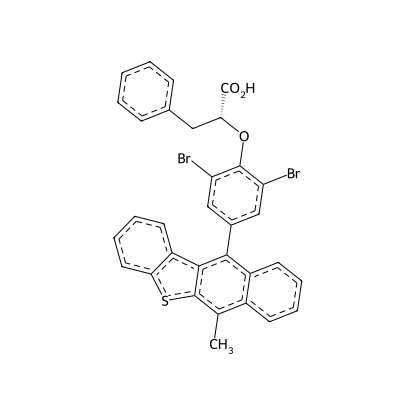 Cc1c2ccccc2c(-c2cc(Br)c(O[C@H](Cc3ccccc3)C(=O)O)c(Br)c2)c2c1sc1ccccc12